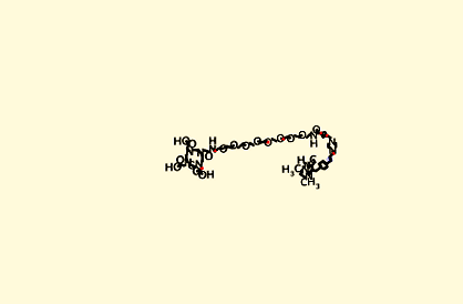 CCc1nn2c(C)cc(C)nc2c1Cc1ccc(/C=C/CN2CCN(CC34CC(C(=O)NCCOCCOCCOCCOCCOCCOCCOCCOCCNC(=O)CN5CCN(CC(=O)O)CCN(CC(=O)O)CCN(CC(=O)O)CC5)(C3)C4)CC2)cc1